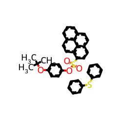 CC(C)(C)Oc1ccc(OS(=O)(=O)c2ccc3ccc4cccc5ccc2c3c45)cc1.c1ccc(Sc2ccccc2)cc1